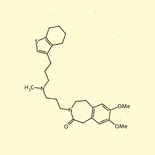 COc1cc2c(cc1OC)CC(=O)N(CCCN(C)CCCc1csc3c1CCCC3)CC2